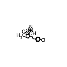 C[C@@]1(C(=O)O)CC[C@H](CCc2ccc(Cl)cc2)[C@]1(O)Cn1cncn1